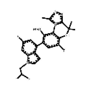 COc1c(-c2cc(F)cc3c2ccn3CC(F)F)cc(F)c2c1-n1c(C)nnc1C(C)(C)N2